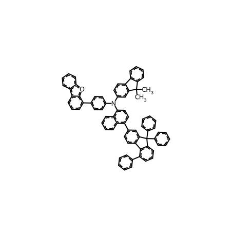 CC1(C)c2ccccc2-c2ccc(N(c3ccc(-c4cccc5c4oc4ccccc45)cc3)c3ccc(-c4ccc5c(c4)C(c4ccccc4)(c4ccccc4)c4cccc(-c6ccccc6)c4-5)c4ccccc34)cc21